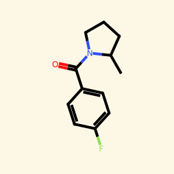 CC1CCCN1C(=O)c1ccc(F)cc1